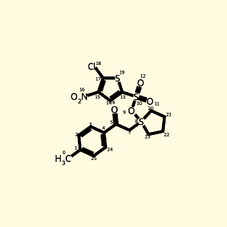 Cc1ccc(C(=O)CS2(OS(=O)(=O)c3cc([N+](=O)[O-])c(Cl)s3)CCCC2)cc1